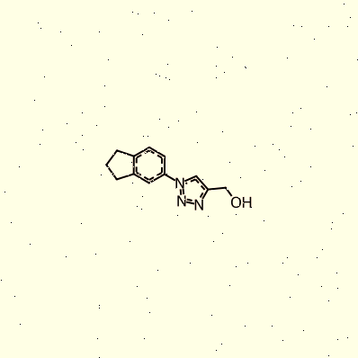 OCc1cn(-c2ccc3c(c2)CCC3)nn1